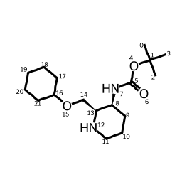 CC(C)(C)OC(=O)N[C@H]1CCCN[C@H]1COC1CCCCC1